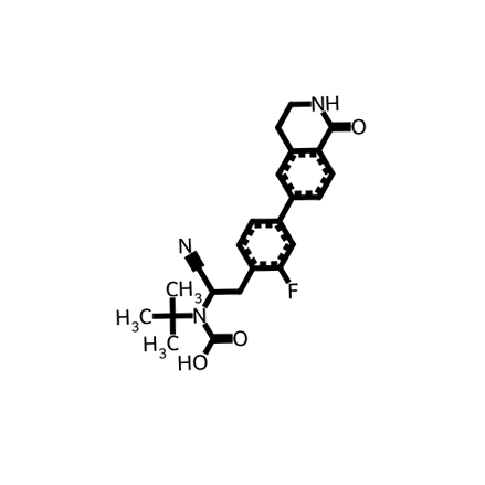 CC(C)(C)N(C(=O)O)C(C#N)Cc1ccc(-c2ccc3c(c2)CCNC3=O)cc1F